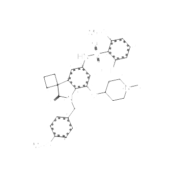 COc1ccc(CN2C(=O)C3(CCC3)c3cc(NS(=O)(=O)c4c(F)cccc4OC)cc(OC4CCN(C)CC4)c32)cc1